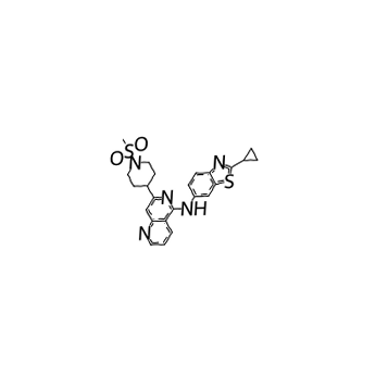 CS(=O)(=O)N1CCC(c2cc3ncccc3c(Nc3ccc4nc(C5CC5)sc4c3)n2)CC1